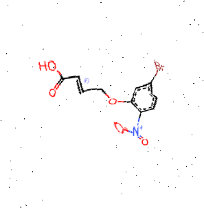 O=C(O)/C=C/COc1cc(Br)ccc1[N+](=O)[O-]